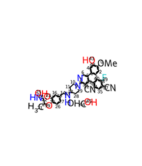 COc1ccc(-c2cnc(N3CCC(NCc4ccc(OC(C)C(=O)NO)cc4)CC3)c(C#N)c2-c2ccc(C#N)c(F)c2)cc1O.O=CO